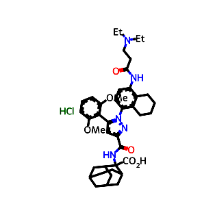 CCN(CC)CCC(=O)Nc1ccc(-n2nc(C(=O)NC3(C(=O)O)C4CC5CC(C4)CC3C5)cc2-c2c(OC)cccc2OC)c2c1CCCC2.Cl